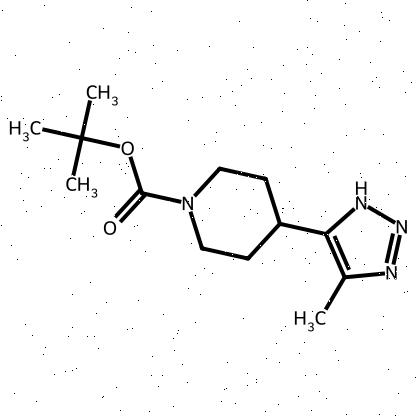 Cc1nn[nH]c1C1CCN(C(=O)OC(C)(C)C)CC1